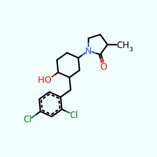 CC1CCN(C2CCC(O)C(Cc3ccc(Cl)cc3Cl)C2)C1=O